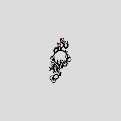 CCn1c(-c2cccnc2[C@H](C)OC)c2c3cc(ccc31)-c1csc(n1)C[C@H](NC(=O)[C@H](C(C)C)N(C)C(=O)N1CCC13CCS(=O)(=O)CC3)C(=O)N1CCC[C@](C=O)(COCC(C)(C)C2)N1